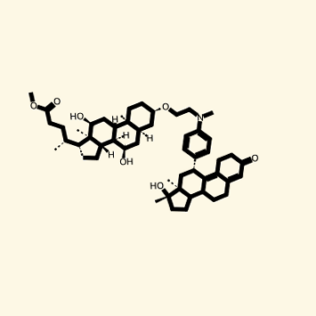 COC(=O)CC[C@@H](C)[C@H]1CC[C@H]2[C@@H]3[C@H](O)C[C@@H]4C[C@@H](OCCN(C)c5ccc([C@H]6C[C@@]7(C)C(CC[C@]7(C)O)C7CCC8=CC(=O)CCC8=C76)cc5)CC[C@]4(C)[C@H]3C[C@H](O)[C@]12C